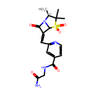 CC1(C)[C@H](C(=O)O)N2C(=O)/C(=C/c3cc(C(=O)NCC(N)=O)ccn3)C2S1(=O)=O